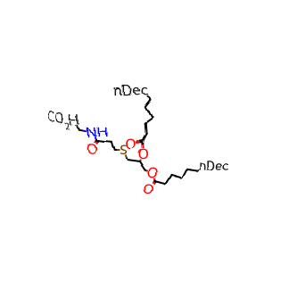 CCCCCCCCCCCCCCCC(=O)OCC(CSCCC(=O)NCC(=O)O)OC(=O)CCCCCCCCCCCCCCC